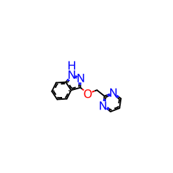 c1cnc(COc2n[nH]c3ccccc23)nc1